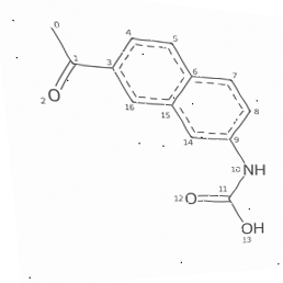 CC(=O)c1ccc2ccc(NC(=O)O)cc2c1